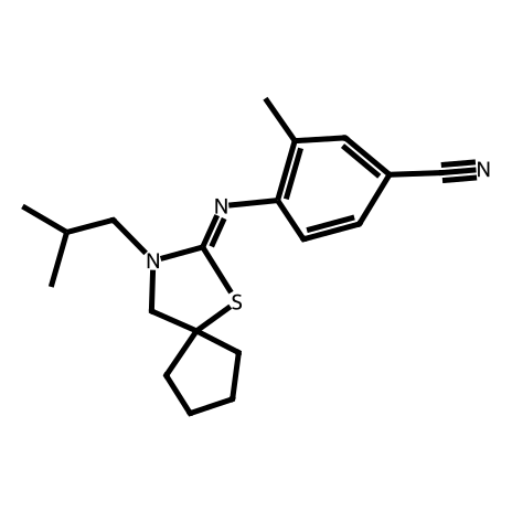 Cc1cc(C#N)ccc1N=C1SC2(CCCC2)CN1CC(C)C